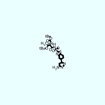 C[C@@H](OC(C)(C)C)[C@H](NC(=O)OC(C)(C)C)C(=O)NS(=O)(=O)c1nc2cc(-c3cc(N)ncn3)ccc2s1